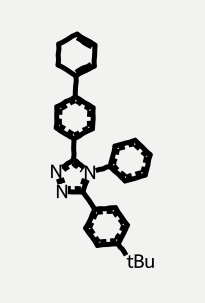 CC(C)(C)c1ccc(-c2nnc(-c3ccc(C4=CC=CCC4)cc3)n2-c2ccccc2)cc1